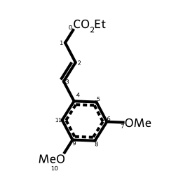 CCOC(=O)CC=Cc1cc(OC)cc(OC)c1